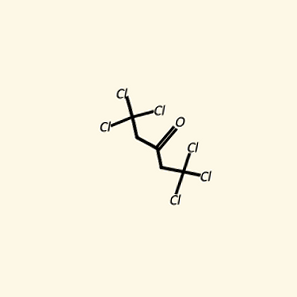 O=C(CC(Cl)(Cl)Cl)CC(Cl)(Cl)Cl